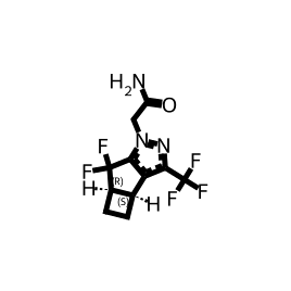 NC(=O)Cn1nc(C(F)(F)F)c2c1C(F)(F)[C@@H]1CC[C@H]21